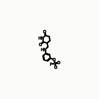 O=C1CCC(CNc2cccc(OS(=O)(=O)F)c2)C(=O)N1